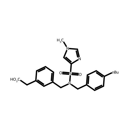 CCCCc1ccc(CN(Cc2cccc(CC(=O)O)c2)S(=O)(=O)c2cn(C)cn2)cc1